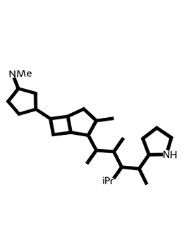 CNC1CCC(C2CC3C2CC(C)C3C(C)C(C)C(C(C)C)C(C)C2CCCN2)C1